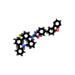 c1ccc2c(c1)oc1ccc(-c3ccc4nc(-n5c6ccc7sc8ccc9c%10ccccc%10n%10c%11cccc5c%11c6c7c8c9%10)oc4c3)cc12